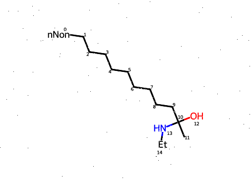 CCCCCCCCCCCCCCCCCCC(C)(O)NCC